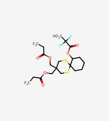 O=C(CC(F)(F)F)OCC1(COC(=O)CC(F)(F)F)CSC2(CCCCC2OC(=O)C(F)(F)S(=O)(=O)O)SC1